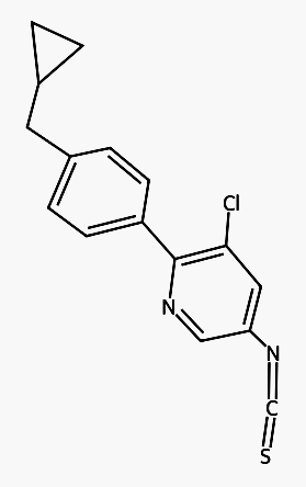 S=C=Nc1cnc(-c2ccc(CC3CC3)cc2)c(Cl)c1